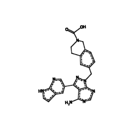 Nc1ncnc2c1c(-c1cnc3[nH]ccc3c1)nn2Cc1ccc2c(c1)CCN(C(=O)O)C2